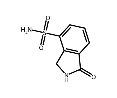 NS(=O)(=O)c1cccc2c1CNC2=O